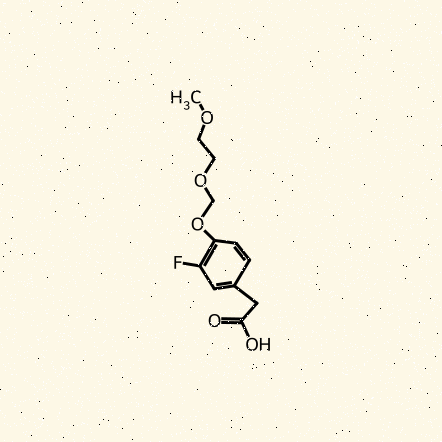 COCCOCOc1ccc(CC(=O)O)cc1F